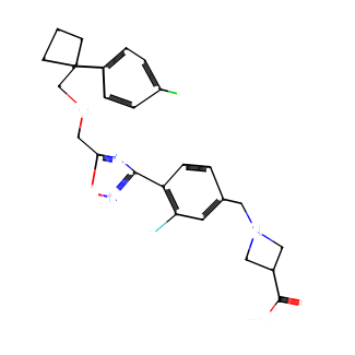 O=C(O)C1CN(Cc2ccc(-c3noc(COCC4(c5ccc(Cl)cc5)CCC4)n3)c(F)c2)C1